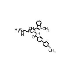 CCc1ccc(-c2ccc(C(=O)N[C@H](Cc3cn(C)c4ccccc34)CN(C)CCNC)cc2)cc1